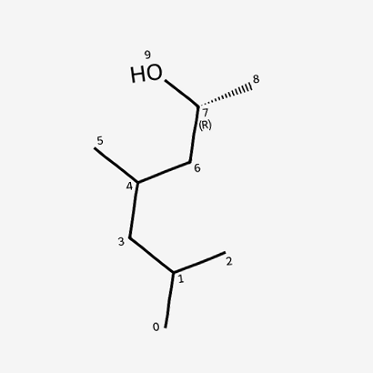 CC(C)CC(C)C[C@@H](C)O